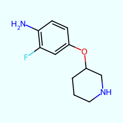 Nc1ccc(OC2CCCNC2)cc1F